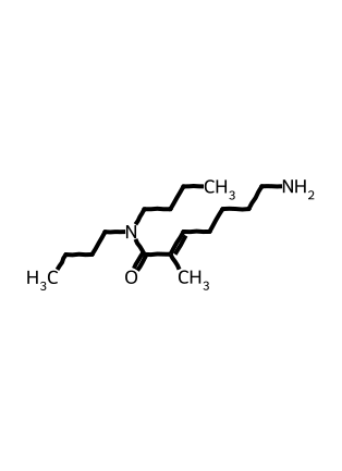 CCCCN(CCCC)C(=O)C(C)=CCCCCN